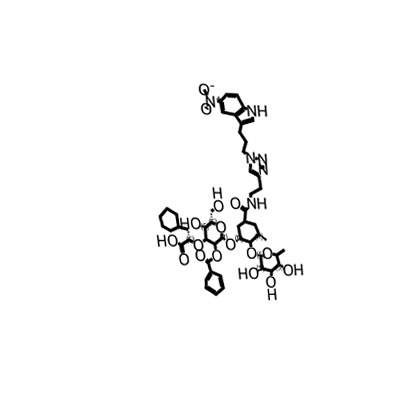 CC1O[C@@H](OC2[C@H](C)CC(C(=O)NCCc3cn(CCCc4c[nH]c5ccc([N+](=O)[O-])cc45)nn3)C[C@H]2O[C@@H]2O[C@@H](CO)[C@H](O)C(O[C@@H](CC3CCCCC3)C(=O)O)C2OC(=O)c2ccccc2)[C@@H](O)C(O)[C@@H]1O